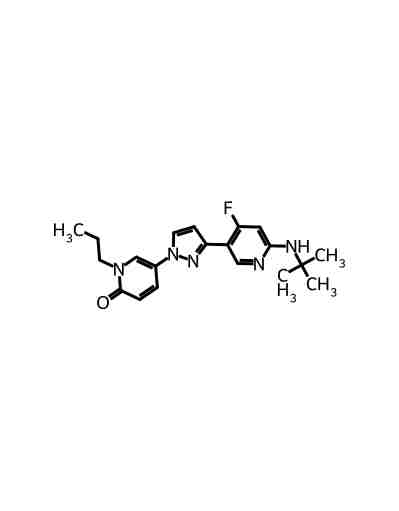 CCCn1cc(-n2ccc(-c3cnc(NC(C)(C)C)cc3F)n2)ccc1=O